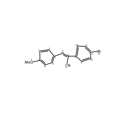 COc1ccc(/N=C(\C#N)c2ccc(Br)cc2)cc1